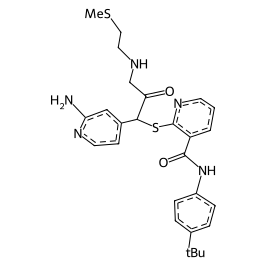 CSCCNCC(=O)C(Sc1ncccc1C(=O)Nc1ccc(C(C)(C)C)cc1)c1ccnc(N)c1